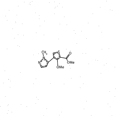 COC(=O)c1scc(-c2ccnn2C)c1OC